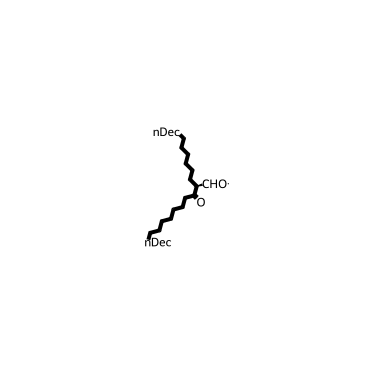 CCCCCCCCCCCCCCCCCC(=O)[C@H]([C]=O)CCCCCCCCCCCCCCCC